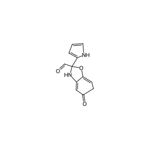 O=CC1(c2ccc[nH]2)NC2=CC(=O)CC=C2O1